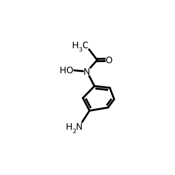 CC(=O)N(O)c1cccc(N)c1